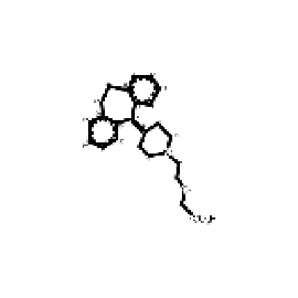 O=C(O)COCCN1CCC(=C2c3ccccc3CCc3ccccc32)CC1